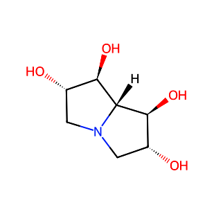 O[C@@H]1[C@H]2[C@H](O)[C@@H](O)CN2C[C@H]1O